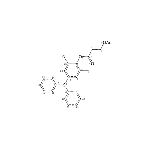 CC(=O)OCCC(=O)Oc1c(C)cc([S+](c2ccccc2)c2ccccc2)cc1C